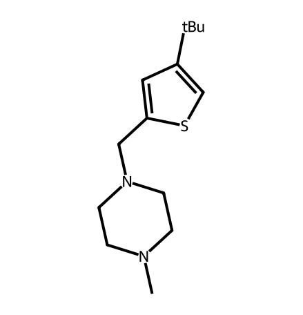 CN1CCN(Cc2cc(C(C)(C)C)cs2)CC1